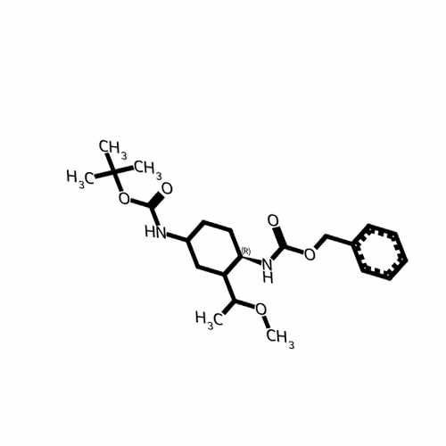 COC(C)C1CC(NC(=O)OC(C)(C)C)CC[C@H]1NC(=O)OCc1ccccc1